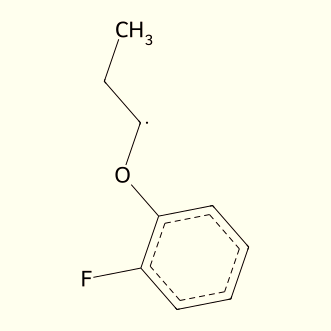 CC[CH]Oc1ccccc1F